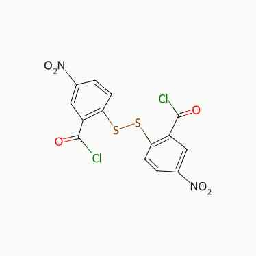 O=C(Cl)c1cc([N+](=O)[O-])ccc1SSc1ccc([N+](=O)[O-])cc1C(=O)Cl